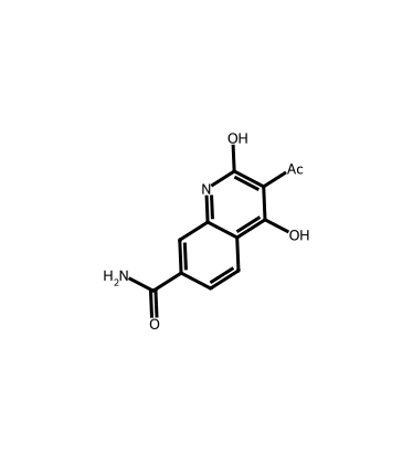 CC(=O)c1c(O)nc2cc(C(N)=O)ccc2c1O